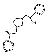 O=C(SC1CCN(CC(O)c2ccccc2)C1)c1ccccc1